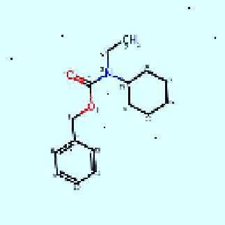 CCN(C(=O)OCc1ccccc1)C1CCCCC1